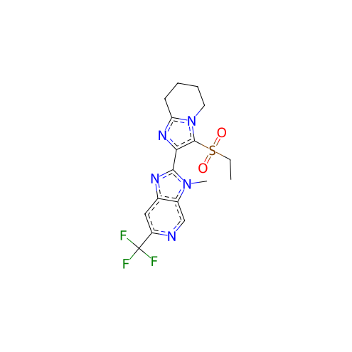 CCS(=O)(=O)c1c(-c2nc3cc(C(F)(F)F)ncc3n2C)nc2n1CCCC2